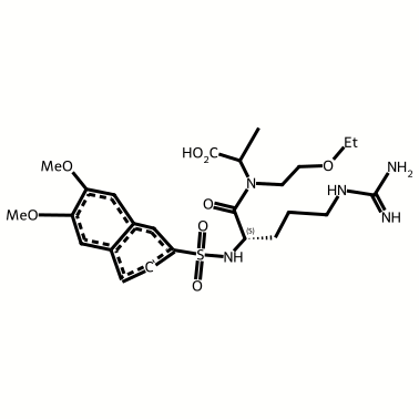 CCOCCN(C(=O)[C@H](CCCNC(=N)N)NS(=O)(=O)c1ccc2cc(OC)c(OC)cc2c1)C(C)C(=O)O